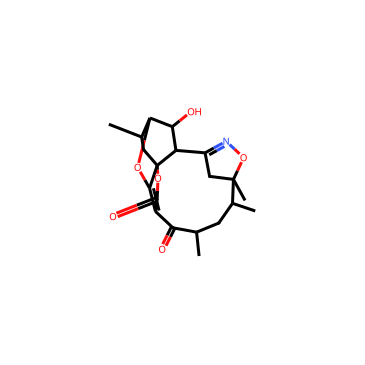 CC1CC(C)C2(C)CC(=NO2)C2C(O)C3OC4=C(C(=O)OC42CC3C)C1=O